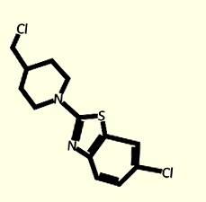 ClCC1CCN(c2nc3ccc(Cl)cc3s2)CC1